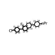 CCCC1CCC(C2CCc3c(ccc(-c4ccc(Cl)cc4)c3F)C2)CC1